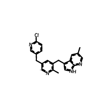 Cc1cnc2[nH]cc(Cc3cc(Cc4ccc(Cl)nc4)[c]nc3C)c2c1